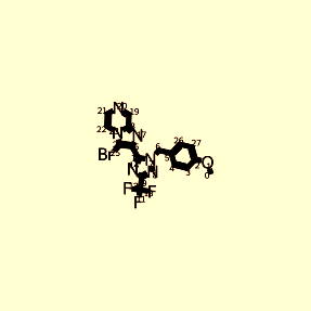 COc1ccc(Cn2nc(C(F)(F)F)nc2-c2nc3cnccn3c2Br)cc1